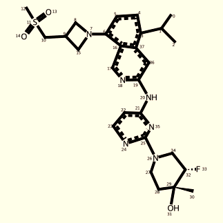 CC(C)c1ccc(N2CC(CS(C)(=O)=O)C2)c2cnc(Nc3ccnc(N4CC[C@@](C)(O)[C@@H](F)C4)n3)cc12